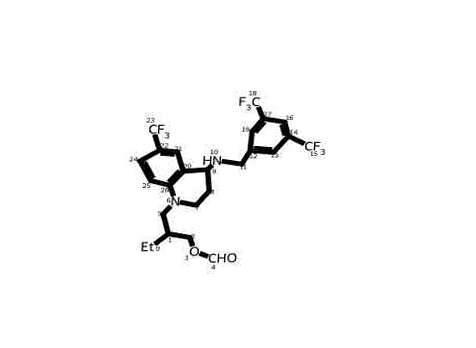 CCC(COC=O)CN1CCC(NCc2cc(C(F)(F)F)cc(C(F)(F)F)c2)c2cc(C(F)(F)F)ccc21